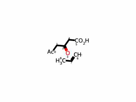 CC(=O)CC(=O)CC(=O)O.[CH]=CC